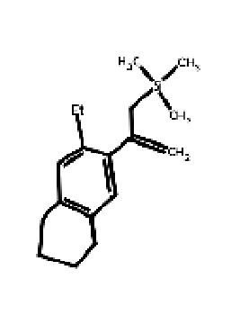 C=C(C[Si](C)(C)C)c1cc2c(cc1CC)CCCC2